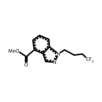 COC(=O)c1cccc2c1cnn2CCCC(F)(F)F